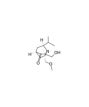 COC[C@]1(CO)C(=O)[C@H]2CCN1[C@H](C(C)C)C2